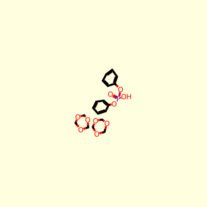 C1OCOCO1.C1OCOCO1.O=P(O)(Oc1ccccc1)Oc1ccccc1